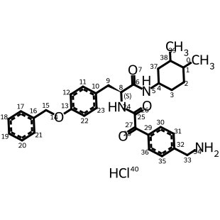 CC1CCC(NC(=O)[C@H](Cc2ccc(OCc3ccccc3)cc2)NC(=O)C(=O)c2ccc(CN)cc2)CC1C.Cl